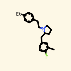 CCc1ccc(CCN2CCCC2Cc2ccc(F)c(C)c2)cc1